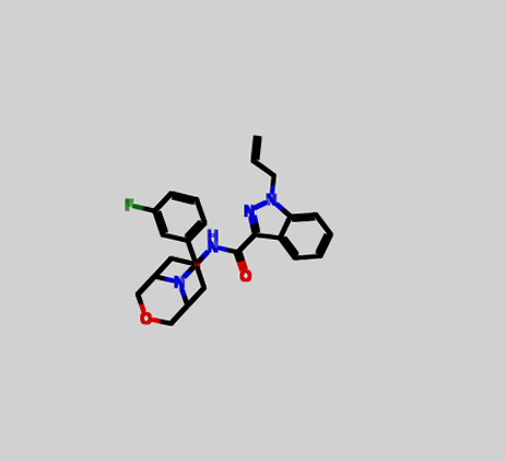 C=CCn1nc(C(=O)NC2CC3COCC(C2)N3Cc2cccc(F)c2)c2ccccc21